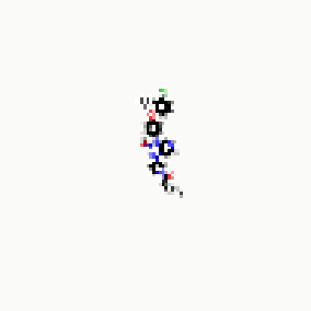 C=CC(=O)N1CCC(Nc2ccncc2N(N=O)c2ccc(Oc3cccc(Cl)c3C)cc2)C1